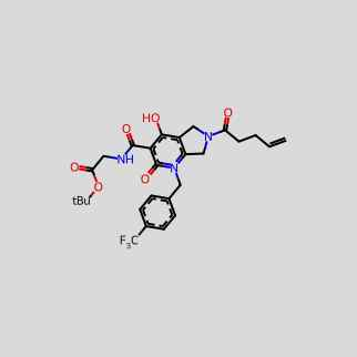 C=CCCC(=O)N1Cc2c(O)c(C(=O)NCC(=O)OC(C)(C)C)c(=O)n(Cc3ccc(C(F)(F)F)cc3)c2C1